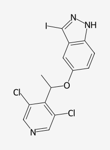 CC(Oc1ccc2[nH]nc(I)c2c1)c1c(Cl)cncc1Cl